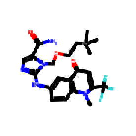 Cn1c(C(F)(F)F)cc(=O)c2cc(Nc3ncc(C(N)=O)n3COCC[Si](C)(C)C)ccc21